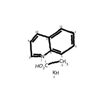 CC(=O)O.[KH].c1ccc2ncccc2c1